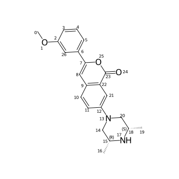 COc1cccc(-c2cc3ccc(N4C[C@@H](C)N[C@@H](C)C4)cc3c(=O)o2)c1